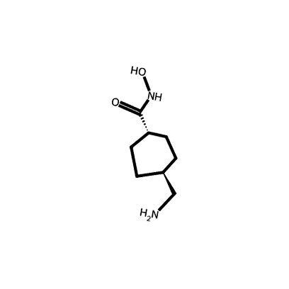 NC[C@H]1CC[C@H](C(=O)NO)CC1